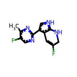 Cc1nc(-c2c[nH]c3c2C=C(F)CN3)ncc1F